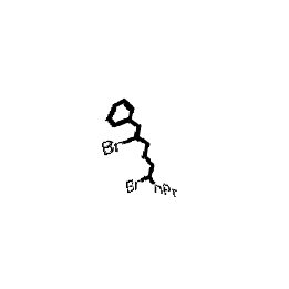 CCCC(Br)CCCC(Br)Cc1ccccc1